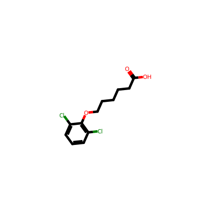 O=C(O)CCCCCOc1c(Cl)cccc1Cl